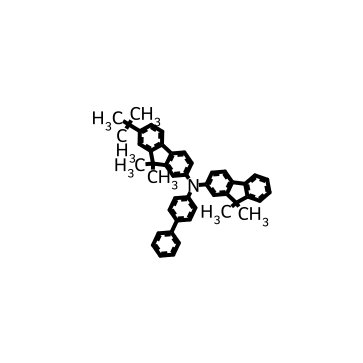 CC(C)(C)c1ccc2c(c1)C(C)(C)c1cc(N(c3ccc(-c4ccccc4)cc3)c3ccc4c(c3)C(C)(C)c3ccccc3-4)ccc1-2